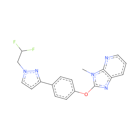 Cn1c(Oc2ccc(-c3ccn(CC(F)F)n3)cc2)nc2cccnc21